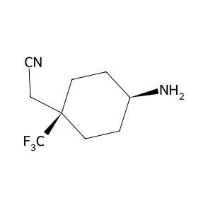 N#CC[C@]1(C(F)(F)F)CC[C@@H](N)CC1